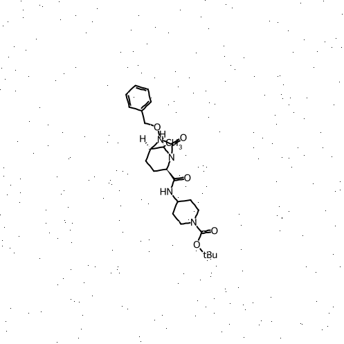 C[C@@H]1[C@H]2CC[C@H](C(=O)NC3CCN(C(=O)OC(C)(C)C)CC3)N1C(=O)N2OCc1ccccc1